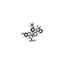 CCC[C@H]1N(C(=O)c2ncccc2C(F)(F)F)CCC[C@@]1(Oc1ccc(OC(F)(F)F)cc1)C(=O)N1CCc2cc(Cl)ccc2[C@@H]1CCC(=O)O